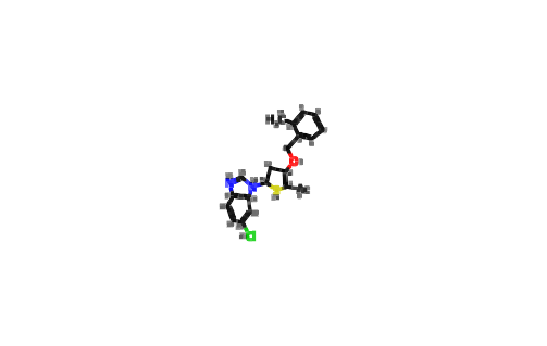 CC(=O)C1=C(OCc2ccccc2C)CC(n2cnc3ccc(Cl)cc32)S1